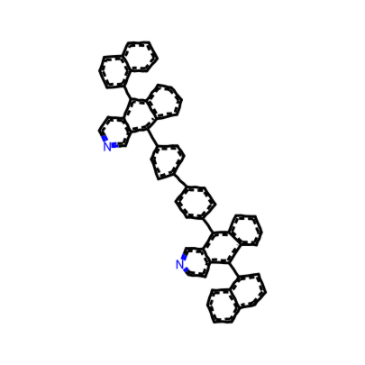 c1ccc2c(-c3c4ccccc4c(-c4ccc(-c5ccc(-c6c7ccccc7c(-c7cccc8ccccc78)c7ccncc67)cc5)cc4)c4cnccc34)cccc2c1